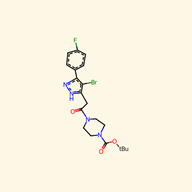 CC(C)(C)OC(=O)N1CCN(C(=O)Cc2[nH]nc(-c3ccc(F)cc3)c2Br)CC1